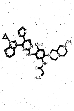 C=CC(=O)Nc1cc(Nc2ncc(-c3nccs3)c(-c3cn(C4CC4)c4ccccc34)n2)c(OC)cc1N1CCN2CCN(C)CC2C1